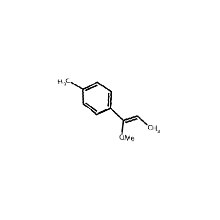 CC=C(OC)c1ccc(C)cc1